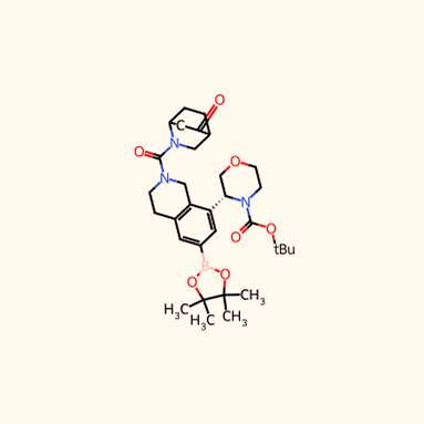 CC(C)(C)OC(=O)N1CCOC[C@H]1c1cc(B2OC(C)(C)C(C)(C)O2)cc2c1CN(C(=O)N1CC3CCC1CC3=O)CC2